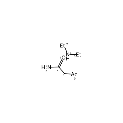 CC(=O)CC(N)=O.CCNCC